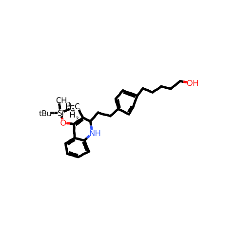 CC1=C(O[Si](C)(C)C(C)(C)C)c2ccccc2NC1CCc1ccc(CCCCCO)cc1